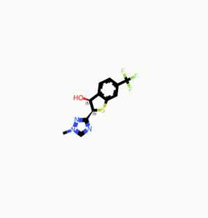 Cn1cnc([C@@H]2Sc3cc(C(F)(F)F)ccc3[C@@H]2O)n1